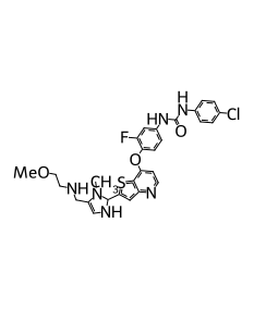 COCCNCC1=CNC(c2cc3nccc(Oc4ccc(NC(=O)Nc5ccc(Cl)cc5)cc4F)c3s2)N1C